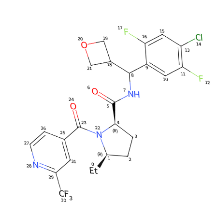 CC[C@@H]1CC[C@H](C(=O)NC(c2cc(F)c(Cl)cc2F)C2COC2)N1C(=O)c1ccnc(C(F)(F)F)c1